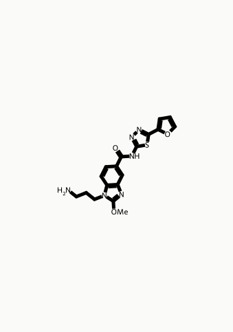 COc1nc2cc(C(=O)Nc3nnc(-c4ccco4)s3)ccc2n1CCCN